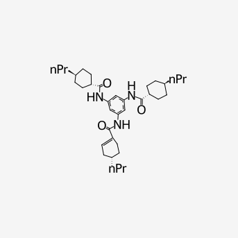 CCC[C@@H]1CC=C(C(=O)Nc2cc(NC(=O)[C@H]3CC[C@H](CCC)CC3)cc(NC(=O)[C@H]3CC[C@H](CCC)CC3)c2)CC1